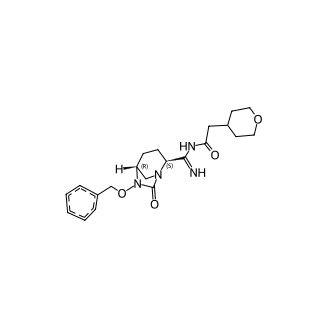 N=C(NC(=O)CC1CCOCC1)[C@@H]1CC[C@@H]2CN1C(=O)N2OCc1ccccc1